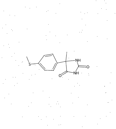 CSc1ccc(C2(C)NC(=O)NC2=O)cc1